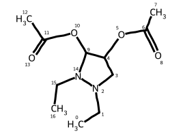 CCN1CC(OC(C)=O)C(OC(C)=O)N1CC